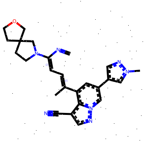 C=N/C(=C\C=C(/C)c1cc(-c2cnn(C)c2)cn2ncc(C#N)c12)N1CCC2(CCOC2)C1